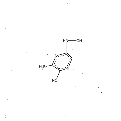 Bc1nc(NO)cnc1C#N